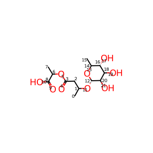 CC(CC(=O)OC(C)C(=O)O)O[C@@H]1OC(C)[C@H](O)C(O)C1O